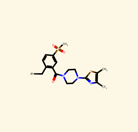 Cc1sc(N2CCN(C(=O)c3cc(S(C)(=O)=O)ccc3CC(C)C)CC2)nc1C(F)(F)F